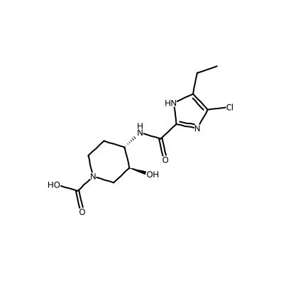 CCc1[nH]c(C(=O)N[C@H]2CCN(C(=O)O)C[C@@H]2O)nc1Cl